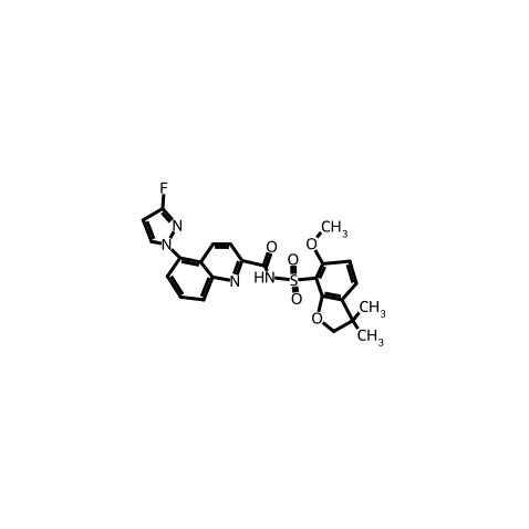 COc1ccc2c(c1S(=O)(=O)NC(=O)c1ccc3c(-n4ccc(F)n4)cccc3n1)OCC2(C)C